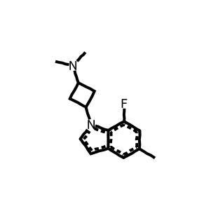 Cc1cc(F)c2c(ccn2C2CC(N(C)C)C2)c1